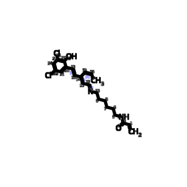 C=CC(=O)NCCCCCC/N=C/C=C(\C=C/C)/C=C/c1cc(Cl)cc(Cl)c1O